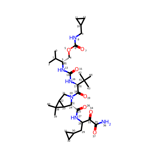 CC(C)[C@H](COC(=O)NCC1CC1)NC(=O)N[C@H](C(=O)N1CC2C([C@H]1C(=O)NC(CC1CC1)C(=O)C(N)=O)C2(C)C)C(C)(C)C